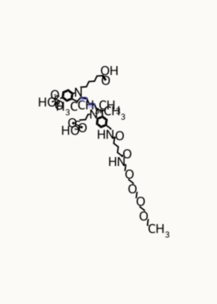 CCCOCCOCCOCCOCCNC(=O)CCCC(=O)NCc1ccc2c(c1)C(C)(C)C(/C=C/C=C1/N(CCCCCC(=O)O)c3ccc(S(=O)(=O)O)cc3C1(C)C)=[N+]2CCCS(=O)(=O)O